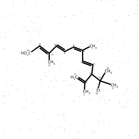 C=C(C)C(C=CC(C)=CC=C/C(C)=C/C(=O)O)C(C)(C)CC